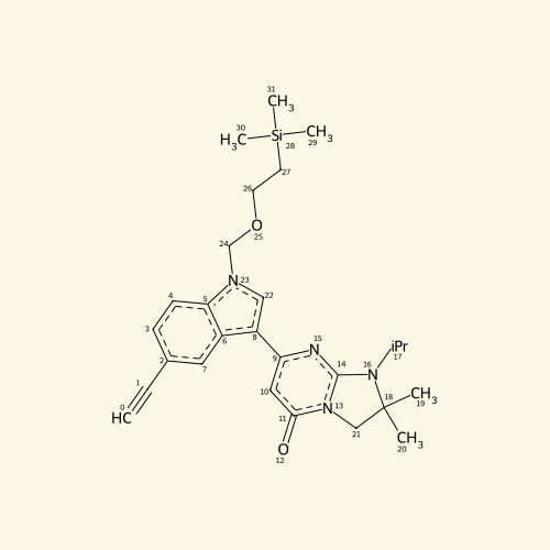 C#Cc1ccc2c(c1)c(-c1cc(=O)n3c(n1)N(C(C)C)C(C)(C)C3)cn2COCC[Si](C)(C)C